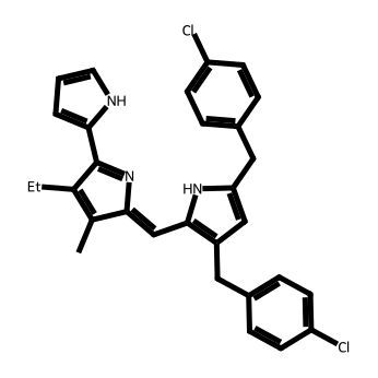 CCC1=C(C)C(=Cc2[nH]c(Cc3ccc(Cl)cc3)cc2Cc2ccc(Cl)cc2)N=C1c1ccc[nH]1